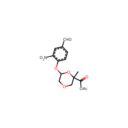 CC(=O)OC(=O)C1(C)COCC(Oc2ccc(C=O)cc2[N+](=O)[O-])O1